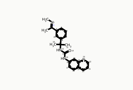 C/N=C(\C)c1cccc(C(C)(C)NC(=O)Nc2ccc3cccnc3c2)c1